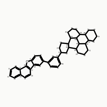 c1cc(-c2ccc3oc4c5ccccc5ccc4c3c2)cc(C2CCC3C(C2)C2CCCC4C5CCCCC5C5CCCC3C5C42)c1